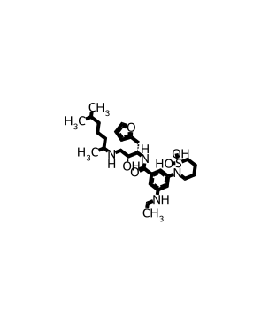 CCNc1cc(C(=O)N[C@@H](Cc2ccco2)[C@H](O)CNC(C)CCCC(C)C)cc(N2CCCCS2(O)O)c1